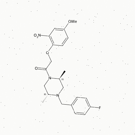 COc1ccc(OCC(=O)N2C[C@@H](C)N(Cc3ccc(F)cc3)C[C@@H]2C)c([N+](=O)[O-])c1